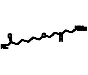 CNCCNCCOCCCCCC(=O)C#N